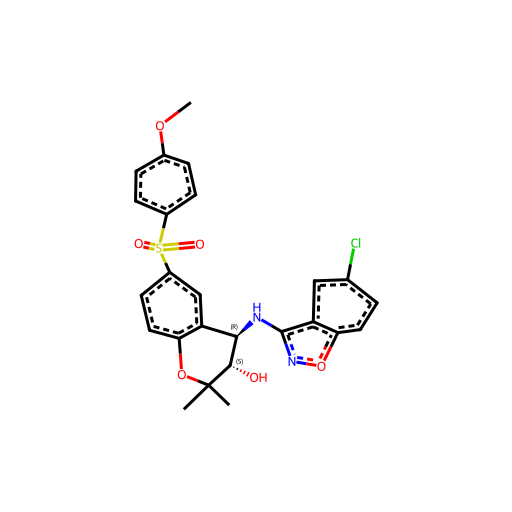 COc1ccc(S(=O)(=O)c2ccc3c(c2)[C@@H](Nc2noc4ccc(Cl)cc24)[C@H](O)C(C)(C)O3)cc1